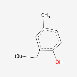 Cc1ccc(O)c(CC(C)(C)C)c1